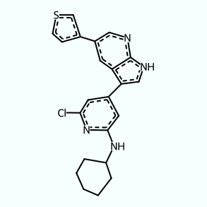 Clc1cc(-c2c[nH]c3ncc(-c4ccsc4)cc23)cc(NC2CCCCC2)n1